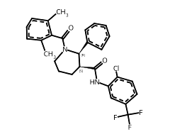 Cc1cccc(C)c1C(=O)N1CCC[C@H](C(=O)Nc2cc(C(F)(F)F)ccc2Cl)[C@@H]1c1ccccc1